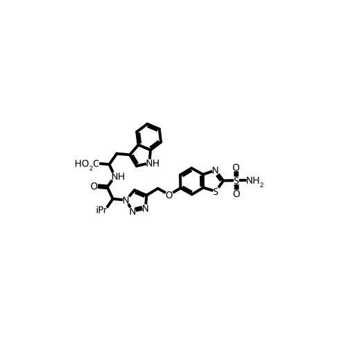 CC(C)C(C(=O)NC(Cc1c[nH]c2ccccc12)C(=O)O)n1cc(COc2ccc3nc(S(N)(=O)=O)sc3c2)nn1